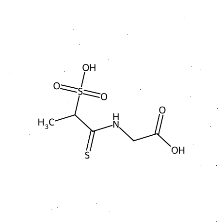 CC(C(=S)NCC(=O)O)S(=O)(=O)O